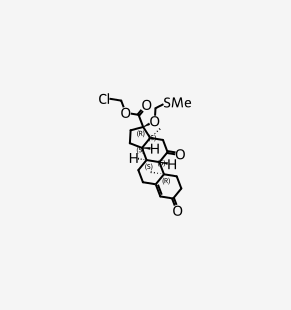 CSCO[C@]1(C(=O)OCCl)CC[C@H]2[C@@H]3CCC4=CC(=O)CC[C@]4(C)[C@H]3C(=O)C[C@@]21C